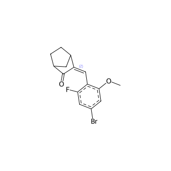 COc1cc(Br)cc(F)c1/C=C1\C(=O)C2CCC1C2